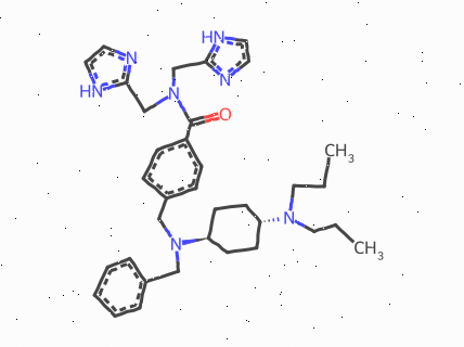 CCCN(CCC)[C@H]1CC[C@H](N(Cc2ccccc2)Cc2ccc(C(=O)N(Cc3ncc[nH]3)Cc3ncc[nH]3)cc2)CC1